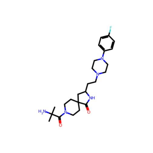 CC(C)(N)C(=O)N1CCC2(CC1)CC(CCN1CCN(c3ccc(F)cc3)CC1)NC2=O